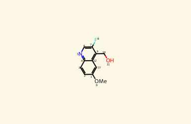 COc1ccc2ncc(F)c(CO)c2c1